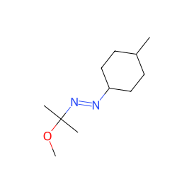 COC(C)(C)/N=N/C1CCC(C)CC1